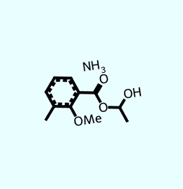 COc1c(C)cccc1C(=O)OC(C)O.N